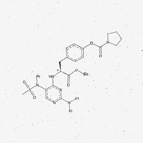 CCN(CC)c1ncc(N(C(C)C)S(C)(=O)=O)c(N[C@@H](Cc2ccc(OC(=O)N3CCCC3)cc2)C(=O)OC(C)(C)C)n1